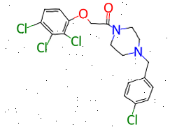 O=C(COc1ccc(Cl)c(Cl)c1Cl)N1CCN(Cc2ccc(Cl)cc2)CC1